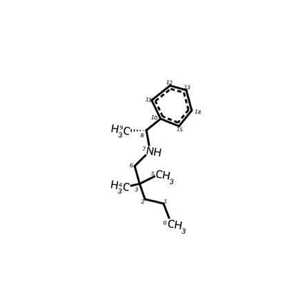 CCCC(C)(C)CN[C@H](C)c1ccccc1